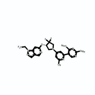 COc1ncc(-c2cc(N3C[C@H](Oc4cc5c(cn4)cnn5CC(F)(F)F)C(F)(F)C3)cc(C#N)n2)c(OC)n1